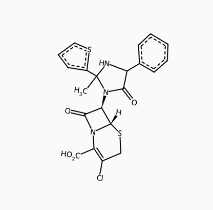 CC1(c2cccs2)NC(c2ccccc2)C(=O)N1[C@@H]1C(=O)N2C(C(=O)O)=C(Cl)CS[C@@H]12